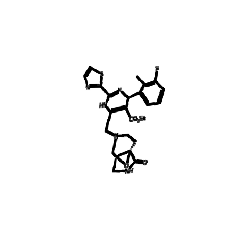 CCOC(=O)C1=C(CN2CC[C@]34O[C@]3(CNC4=O)C2)NC(c2nccs2)=N[C@H]1c1cccc(F)c1C